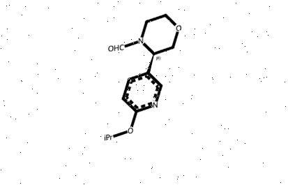 CC(C)Oc1ccc([C@@H]2COCCN2C=O)cn1